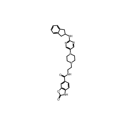 O=C(NCCN1CCN(c2cnc(NC3Cc4ccccc4C3)nc2)CC1)c1ccc2[nH]c(=O)oc2c1